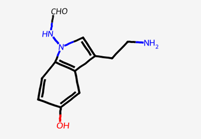 NCCc1cn(NC=O)c2ccc(O)cc12